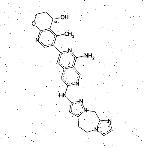 Cc1c(-c2cc3cc(Nc4cc5n(n4)Cc4nccn4CC5)ncc3c(N)n2)cnc2c1[C@@H](O)CCO2